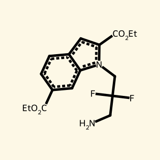 CCOC(=O)c1ccc2cc(C(=O)OCC)n(CC(F)(F)CN)c2c1